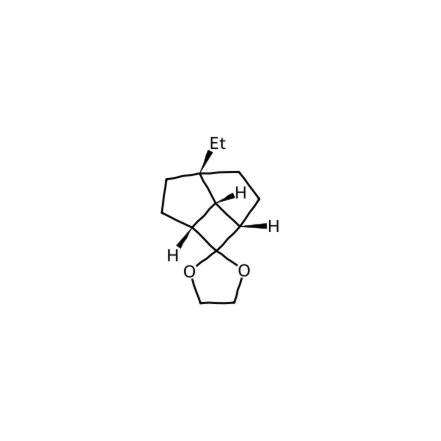 CC[C@]12CC[C@@H]3[C@H]1[C@H](CC2)C31OCCO1